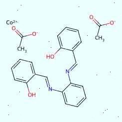 CC(=O)[O-].CC(=O)[O-].Oc1ccccc1C=Nc1ccccc1N=Cc1ccccc1O.[Co+2]